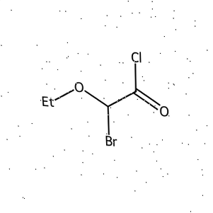 CCOC(Br)C(=O)Cl